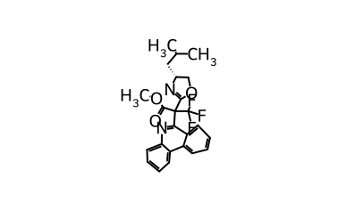 COC(=O)C(C1=N[C@H](CC(C)C)CO1)(c1nc2ccccc2c2ccccc12)C(F)(F)F